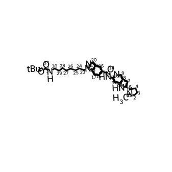 CN1CCC[C@H]1c1cc2cnc(NC(=O)c3ccc4c(cnn4CCCCCCCCNC(=O)OC(C)(C)C)c3)cc2[nH]1